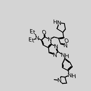 CCN(CC)c1cc2cnc(Nc3ccc(NC4CCN(C)C4)cc3)nc2n(Cc2cnoc2C2CCNC2)c1=O